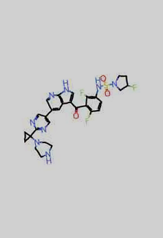 O=C(c1c(F)ccc(NS(=O)(=O)N2CC[C@@H](F)C2)c1F)c1c[nH]c2ncc(-c3cnc(C4(N5CCNCC5)CC4)nc3)cc12